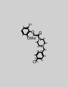 COc1cccc(F)c1OCC(=O)N1CCN(Cc2ccc(Cl)cc2)CC1